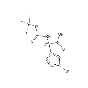 CC(C)(C)OC(=O)N[C@@](C)(C(=O)O)c1ccc(Br)s1